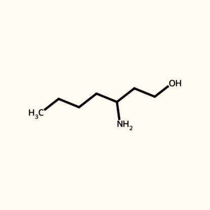 CCCCC(N)CCO